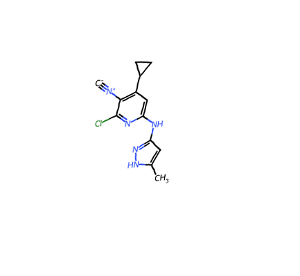 [C-]#[N+]c1c(C2CC2)cc(Nc2cc(C)[nH]n2)nc1Cl